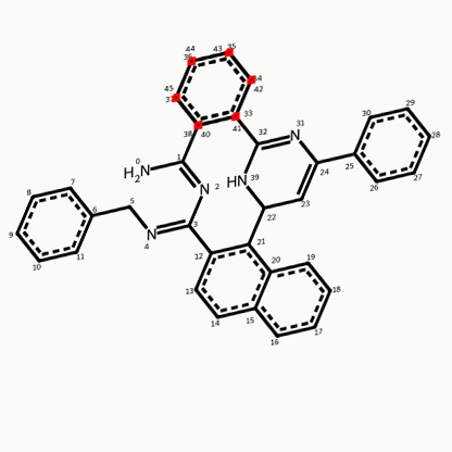 N/C(=N\C(=N/Cc1ccccc1)c1ccc2ccccc2c1C1C=C(c2ccccc2)N=C(c2ccccc2)N1)c1ccccc1